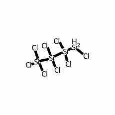 Cl[SiH2][Si](Cl)(Cl)[Si](Cl)(Cl)[Si](Cl)(Cl)Cl